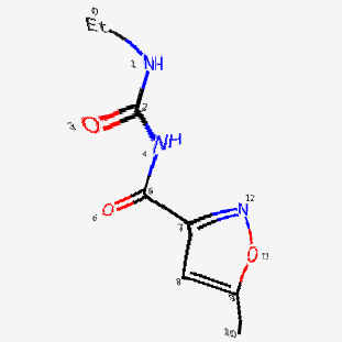 CCNC(=O)NC(=O)c1cc(C)on1